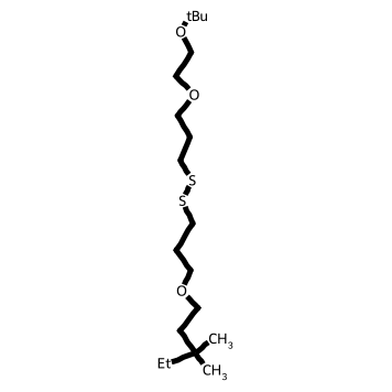 CCC(C)(C)CCOCCCSSCCCOCCOC(C)(C)C